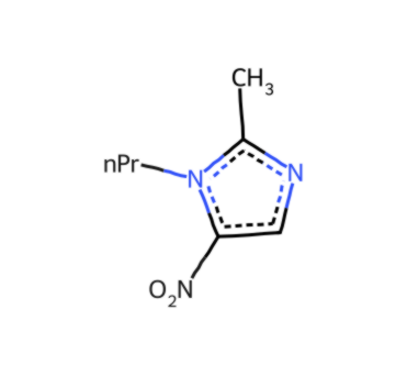 C[CH]Cn1c([N+](=O)[O-])cnc1C